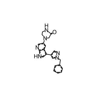 O=C1CN(c2cnc3[nH]cc(-c4cnn(Cc5ccccc5)c4)c3c2)CCN1